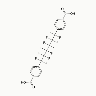 O=C(O)c1ccc(C(F)(F)C(F)(F)C(F)(F)C(F)(F)C(F)(F)C(F)(F)c2ccc(C(=O)O)cc2)cc1